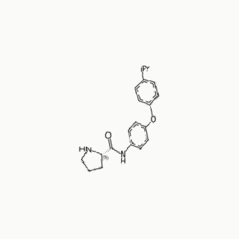 CC(C)c1ccc(Oc2ccc(NC(=O)[C@@H]3CCCN3)cc2)cc1